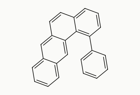 c1ccc(-c2cccc3ccc4cc5ccccc5cc4c23)cc1